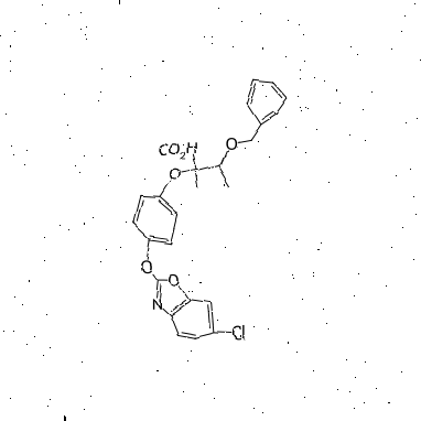 CC(OCc1ccccc1)C(C)(Oc1ccc(Oc2nc3ccc(Cl)cc3o2)cc1)C(=O)O